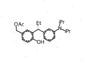 CC[C@H](c1cccc(N(C(C)C)C(C)C)c1)c1cc(COC(C)=O)ccc1O